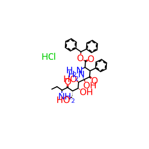 CCC(N)C(=O)[C@@H](CO)[C@@H](O)[C@@H](O)[C@](N)(O)C(=O)C(c1ccccc1)C(N)C(=O)OC(c1ccccc1)c1ccccc1.Cl